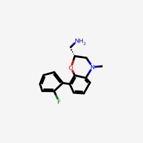 CN1C[C@@H](CN)Oc2c(-c3ccccc3F)cccc21